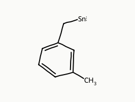 Cc1cccc([CH2][Sn])c1